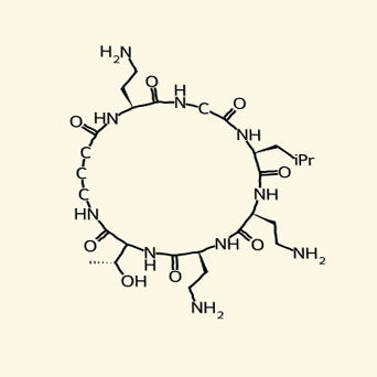 CC(C)C[C@@H]1NC(=O)CNC(=O)[C@H](CCN)NC(=O)CCCNC(=O)C([C@@H](C)O)NC(=O)[C@H](CCN)NC(=O)[C@H](CCN)NC1=O